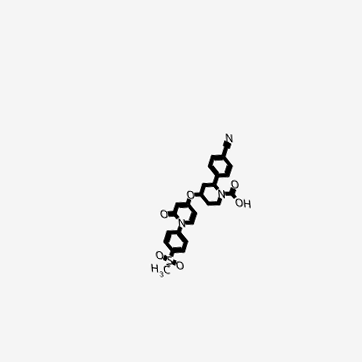 CS(=O)(=O)c1ccc(-n2ccc(OC3CCN(C(=O)O)C(c4ccc(C#N)cc4)C3)cc2=O)cc1